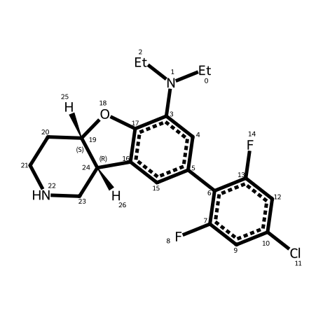 CCN(CC)c1cc(-c2c(F)cc(Cl)cc2F)cc2c1O[C@H]1CCNC[C@@H]21